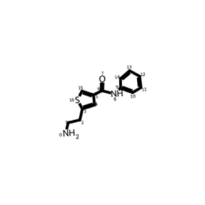 NCCc1cc(C(=O)Nc2ccccc2)cs1